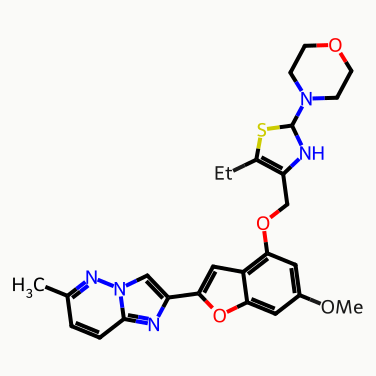 CCC1=C(COc2cc(OC)cc3oc(-c4cn5nc(C)ccc5n4)cc23)NC(N2CCOCC2)S1